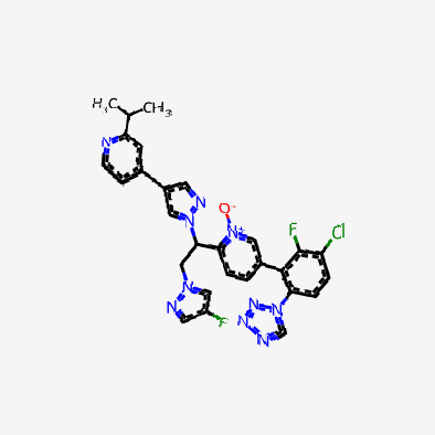 CC(C)c1cc(-c2cnn(C(Cn3cc(F)cn3)c3ccc(-c4c(-n5cnnn5)ccc(Cl)c4F)c[n+]3[O-])c2)ccn1